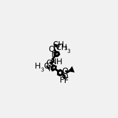 CCN1CC(c2ccc(OC(F)F)c(OCC3CC3)c2)C[C@@H]1C(=O)NCc1cccc(C(=O)N(C)C)n1